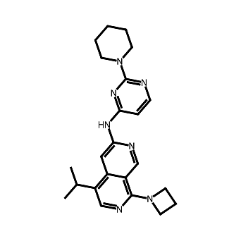 CC(C)c1cnc(N2CCC2)c2cnc(Nc3ccnc(N4CCCCC4)n3)cc12